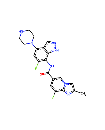 Cc1cn2cc(C(=O)Nc3c(F)cc(N4CCNCC4)c4cn[nH]c34)cc(F)c2n1